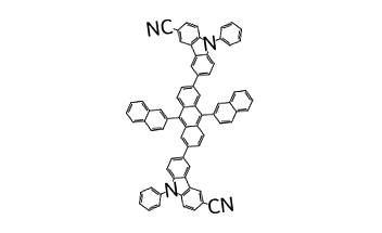 N#Cc1ccc2c(c1)c1cc(-c3ccc4c(-c5ccc6ccccc6c5)c5cc(-c6ccc7c(c6)c6cc(C#N)ccc6n7-c6ccccc6)ccc5c(-c5ccc6ccccc6c5)c4c3)ccc1n2-c1ccccc1